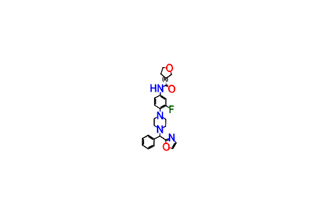 O=C(Nc1ccc(N2CCN(C(c3ccccc3)c3ncco3)CC2)c(F)c1)[C@@H]1CCOC1